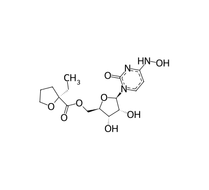 CC[C@@]1(C(=O)OC[C@H]2O[C@@H](n3ccc(NO)nc3=O)[C@H](O)[C@@H]2O)CCCO1